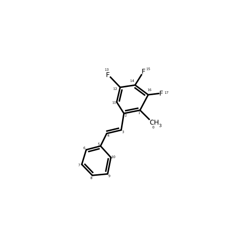 Cc1c(C=Cc2ccccc2)cc(F)c(F)c1F